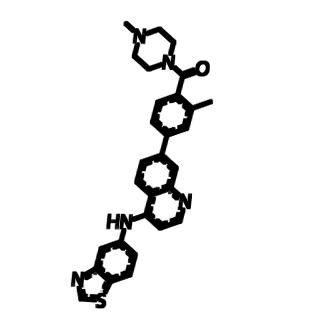 Cc1cc(-c2ccc3c(Nc4ccc5scnc5c4)ccnc3c2)ccc1C(=O)N1CCN(C)CC1